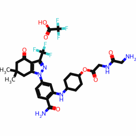 CC1(C)CC(=O)c2c(C(F)(F)F)nn(-c3ccc(C(N)=O)c(NC4CCC(OC(=O)CNC(=O)CN)CC4)c3)c2C1.O=C(O)C(F)(F)F